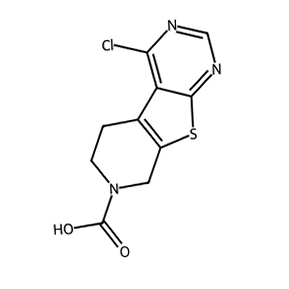 O=C(O)N1CCc2c(sc3ncnc(Cl)c23)C1